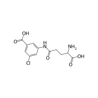 NC(CCC(=O)Nc1cc(Cl)cc(C(=O)O)c1)C(=O)O